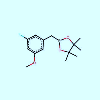 COc1cc(F)cc(CB2OC(C)(C)C(C)(C)O2)c1